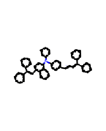 C(/C=C/c1ccc(N(c2ccccc2)c2ccc(C=C(c3ccccc3)c3ccccc3)c3ccccc23)cc1)=C(c1ccccc1)c1ccccc1